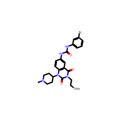 COCCn1c(=O)c2cc(NC(=O)Nc3cccc(C(C)=O)c3)ccc2n(C2CCN(C)CC2)c1=O